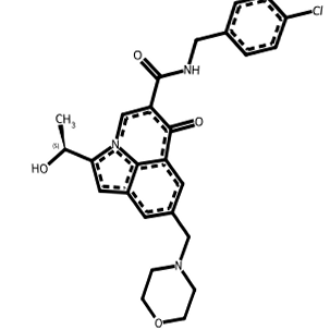 C[C@H](O)c1cc2cc(CN3CCOCC3)cc3c(=O)c(C(=O)NCc4ccc(Cl)cc4)cn1c23